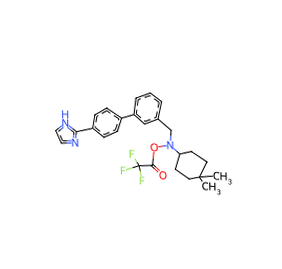 CC1(C)CCC(N(Cc2cccc(-c3ccc(-c4ncc[nH]4)cc3)c2)OC(=O)C(F)(F)F)CC1